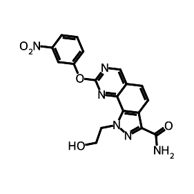 NC(=O)c1nn(CCO)c2c1ccc1cnc(Oc3cccc([N+](=O)[O-])c3)nc12